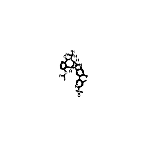 [2H]C([2H])([2H])N1C(=O)c2cccc(OC(F)F)c2[C@H]2C[C@@H]1c1nc3cc(F)c(-c4cnc(P(C)(C)=O)cc4C)cc3n12